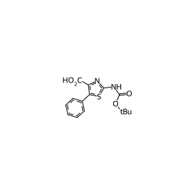 CC(C)(C)OC(=O)Nc1nc(C(=O)O)c(-c2ccccc2)s1